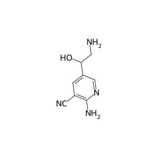 N#Cc1cc(C(O)CN)cnc1N